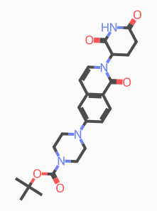 CC(C)(C)OC(=O)N1CCN(c2ccc3c(=O)n(C4CCC(=O)NC4=O)ccc3c2)CC1